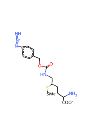 CSSC(CCC(N)C(=O)[O-])CNC(=O)OCc1ccc(N=[N+]=N)cc1